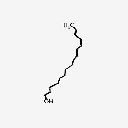 CC=C/C=C\C=C\CCCCCCCCCO